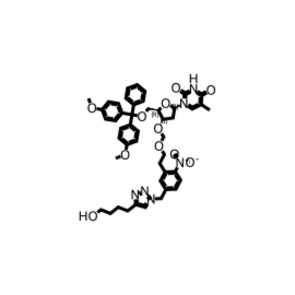 COc1ccc(C(OC[C@H]2O[C@@H](n3cc(C)c(=O)[nH]c3=O)C[C@@H]2OCOCCc2cc(Cn3cc(CCCCO)nn3)ccc2[N+](=O)[O-])(c2ccccc2)c2ccc(OC)cc2)cc1